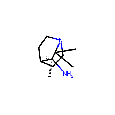 CC1(C)[C@@H](N)C2CCN1CC2